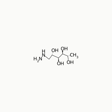 C[C@H](O)[C@H](O)[C@@H](O)[C@@H](O)CNN